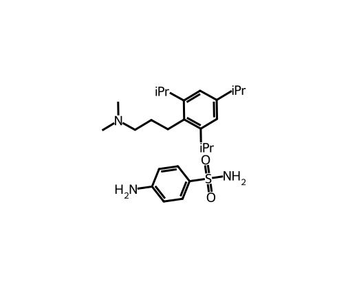 CC(C)c1cc(C(C)C)c(CCCN(C)C)c(C(C)C)c1.Nc1ccc(S(N)(=O)=O)cc1